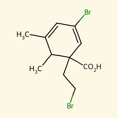 CC1=CC(Br)=CC(CCBr)(C(=O)O)C1C